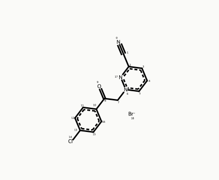 N#Cc1ccc[n+](CC(=O)c2ccc(Cl)cc2)n1.[Br-]